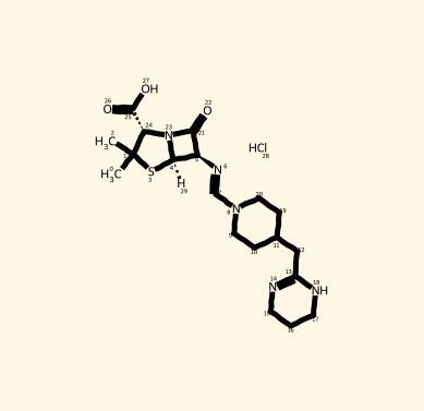 CC1(C)S[C@@H]2[C@H](N=CN3CCC(CC4=NCCCN4)CC3)C(=O)N2[C@H]1C(=O)O.Cl